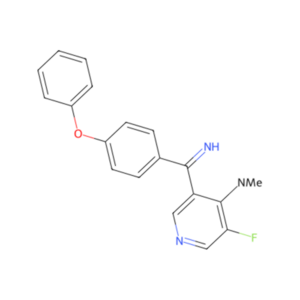 CNc1c(F)cncc1C(=N)c1ccc(Oc2ccccc2)cc1